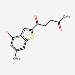 COC(=O)CCC(=O)c1cc2c(Br)cc(OC)cc2s1